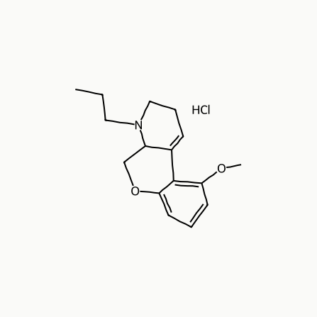 CCCN1CCC=C2c3c(OC)cccc3OCC21.Cl